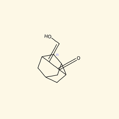 O=C1/C(=C/O)C2CC3CC(C2)C1C3